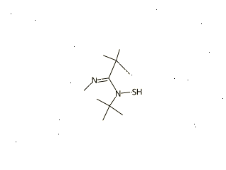 C/N=C(\N(S)C(C)(C)C)C(C)(C)C